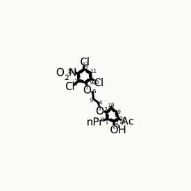 CCCc1c(OCCCOc2c(Cl)cc(Cl)c([N+](=O)[O-])c2Cl)ccc(C(C)=O)c1O